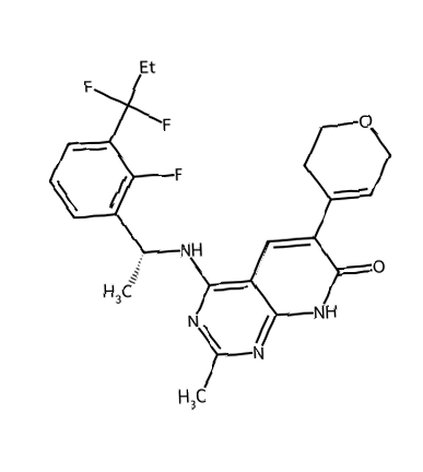 CCC(F)(F)c1cccc([C@@H](C)Nc2nc(C)nc3[nH]c(=O)c(C4=CCOCC4)cc23)c1F